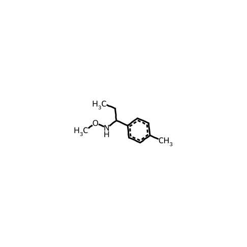 CCC(NOC)c1ccc(C)cc1